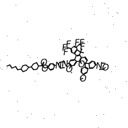 CCCCCC1CCC(C2CCC(C(=O)Oc3ccc(N4CCN(c5cc6c7c(c8c(c6cc5OC)OC(c5ccc(OC)cc5)(c5ccc(N6CCOCC6)cc5)C=C8)C(C)(C)c5c-7cc(C(F)(F)F)cc5C(F)(F)F)CC4)cc3)CC2)CC1